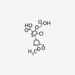 COc1ccc(-c2sc(C(=O)O)c(OCC(=O)O)c2Cl)cc1C=O